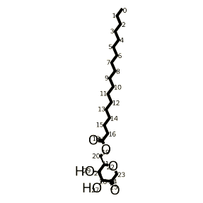 CCCCCCCCCCCCCCCCCC(=O)OC[C@H]1OCC(=O)[C@@H](O)[C@@H]1O